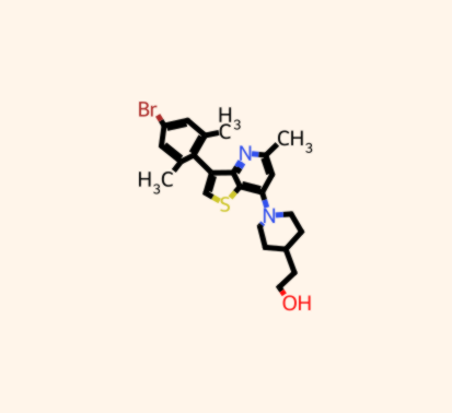 Cc1cc(N2CCC(CCO)CC2)c2scc(-c3c(C)cc(Br)cc3C)c2n1